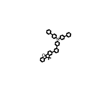 CC1(C)c2cc(-c3cccc(-c4ccc(N(c5ccc(-c6ccccc6)cc5)c5ccc(-c6ccccc6)cc5)cc4)c3)ccc2-c2oc3ccccc3c21